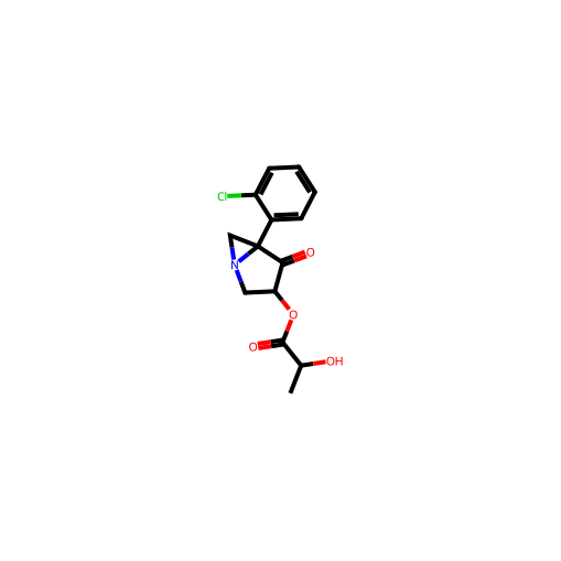 CC(O)C(=O)OC1CN2CC2(c2ccccc2Cl)C1=O